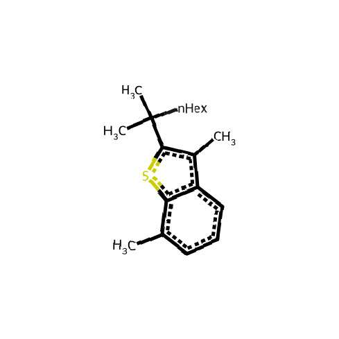 CCCCCCC(C)(C)c1sc2c(C)cccc2c1C